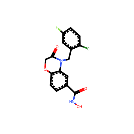 O=C(NO)c1ccc2c(c1)N(Cc1cc(F)ccc1Cl)C(=O)CO2